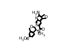 COc1ccc2c(c1)COC[C@H]2N(C)C(=O)c1cc2c3c(c(N)nc2cn1)COC3